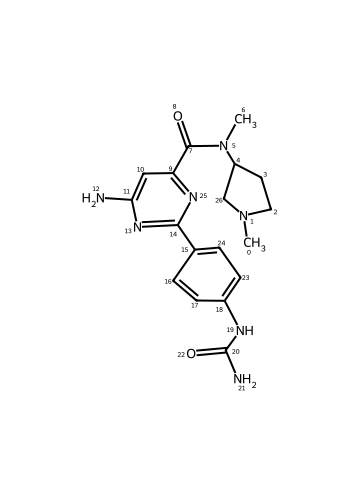 CN1CCC(N(C)C(=O)c2cc(N)nc(-c3ccc(NC(N)=O)cc3)n2)C1